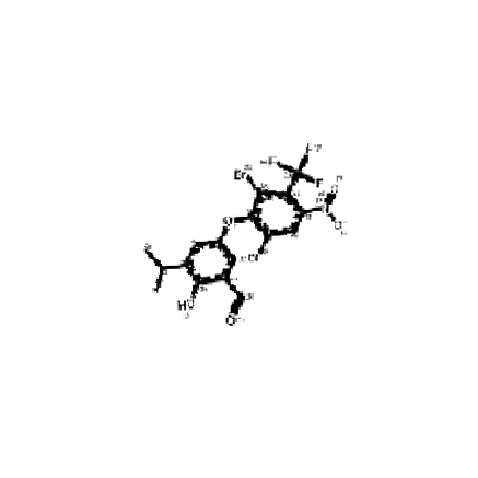 CC(C)c1cc(Oc2c(Br)cc([N+](=O)[O-])c(C(F)(F)F)c2Br)cc(C=O)c1O